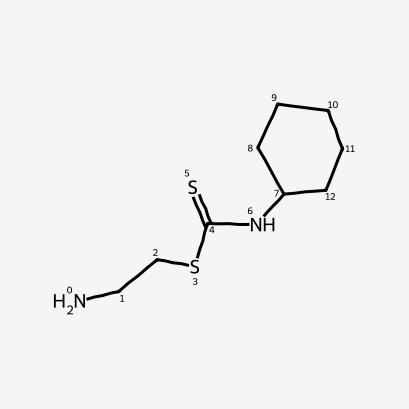 NCCSC(=S)NC1CCCCC1